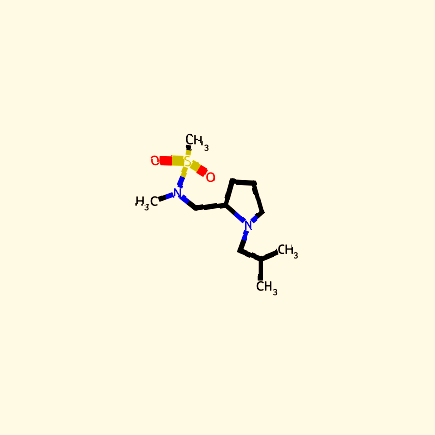 C[C](C)CN1CCCC1CN(C)S(C)(=O)=O